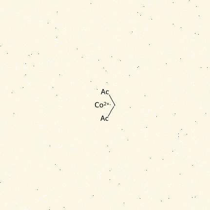 CC(=O)CC(C)=O.[Co+2]